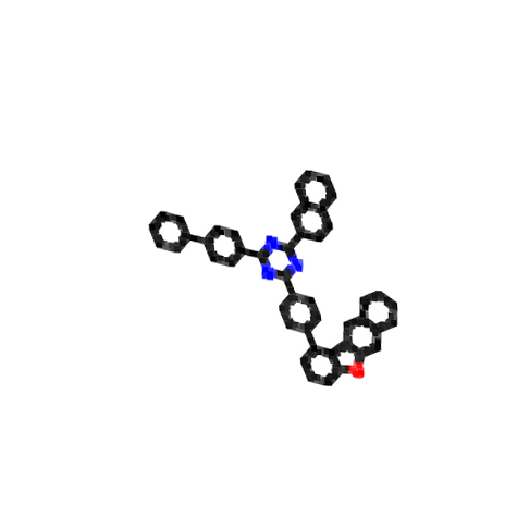 c1ccc(-c2ccc(-c3nc(-c4ccc(-c5cccc6oc7cc8ccccc8cc7c56)cc4)nc(-c4ccc5ccccc5c4)n3)cc2)cc1